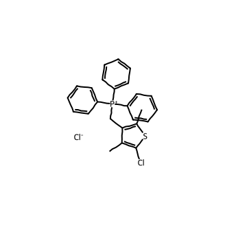 Cc1sc(Cl)c(C)c1C[P+](c1ccccc1)(c1ccccc1)c1ccccc1.[Cl-]